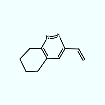 C=Cc1cc2c(nn1)CCCC2